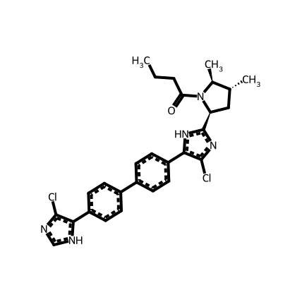 CCCC(=O)N1[C@H](c2nc(Cl)c(-c3ccc(-c4ccc(-c5[nH]cnc5Cl)cc4)cc3)[nH]2)C[C@@H](C)[C@@H]1C